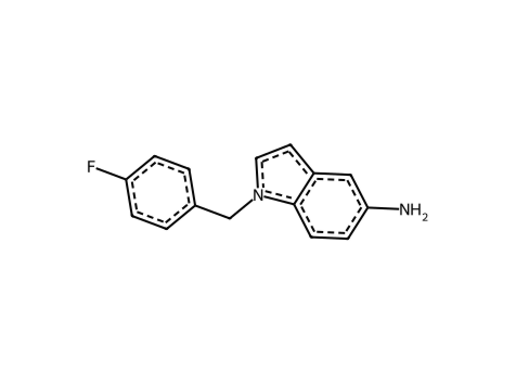 Nc1ccc2c(ccn2Cc2ccc(F)cc2)c1